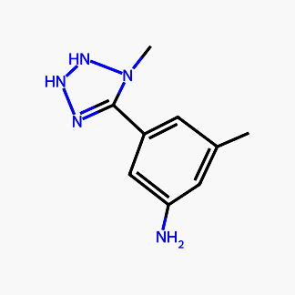 Cc1cc(N)cc(C2=NNNN2C)c1